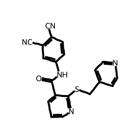 N#Cc1ccc(NC(=O)c2cccnc2SCc2ccncc2)cc1C#N